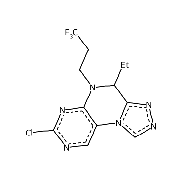 CCC1c2nncn2-c2cnc(Cl)nc2N1CCC(F)(F)F